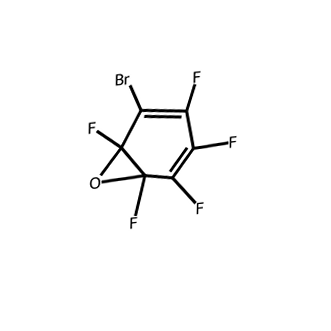 FC1=C(F)C2(F)OC2(F)C(Br)=C1F